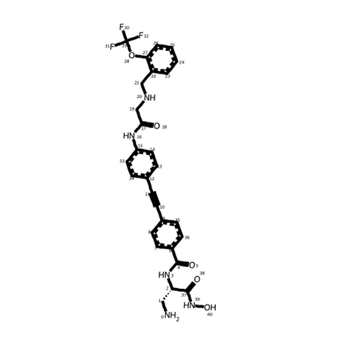 NC[C@H](NC(=O)c1ccc(C#Cc2ccc(NC(=O)CNCc3ccccc3OC(F)(F)F)cc2)cc1)C(=O)NO